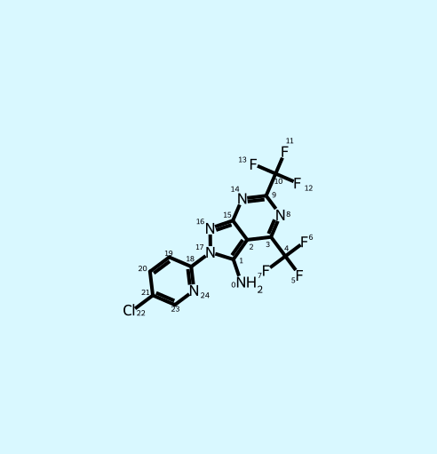 Nc1c2c(C(F)(F)F)nc(C(F)(F)F)nc2nn1-c1ccc(Cl)cn1